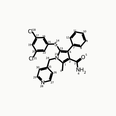 Cc1c(C(N)=O)c(-c2ccccc2)c(Sc2cc(Cl)cc(Cl)c2)n1Cc1ccncc1